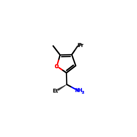 CC[C@@H](N)c1cc(C(C)C)c(C)o1